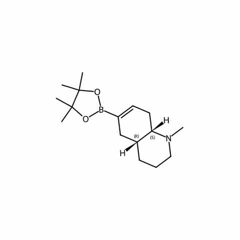 CN1CCC[C@@H]2CC(B3OC(C)(C)C(C)(C)O3)=CC[C@@H]21